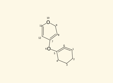 C1=CCCCC=1OC1=CCOC=C1